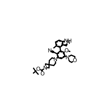 COc1c(N2CCOCC2)cc(N2CCC3(CC2)CN(C(=O)OC(C)(C)C)C3)c(C#N)c1-c1c(C)ccc2[nH]ncc12